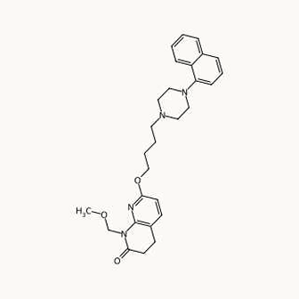 COCN1C(=O)CCc2ccc(OCCCCN3CCN(c4cccc5ccccc45)CC3)nc21